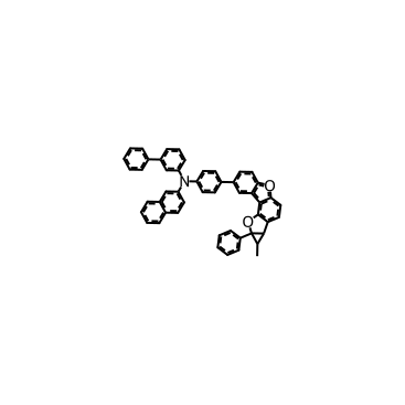 CC1C2c3ccc4oc5ccc(-c6ccc(N(c7cccc(-c8ccccc8)c7)c7ccc8ccccc8c7)cc6)cc5c4c3OC12c1ccccc1